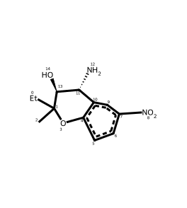 CCC1(C)Oc2ccc([N+](=O)[O-])cc2[C@@H](N)[C@@H]1O